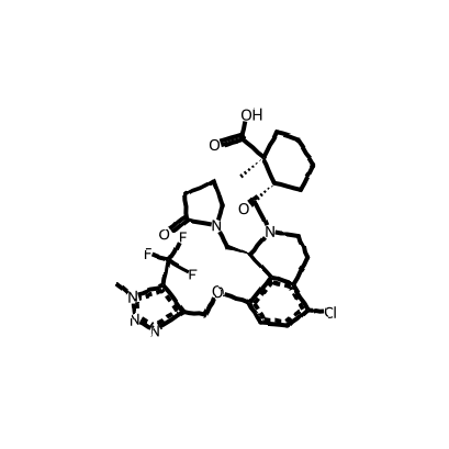 Cn1nnc(COc2ccc(Cl)c3c2[C@@H](CN2CCCC2=O)N(C(=O)[C@H]2CCCC[C@]2(C)C(=O)O)CC3)c1C(F)(F)F